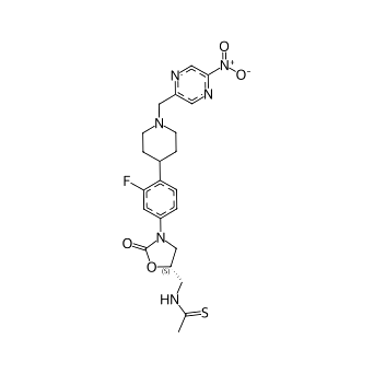 CC(=S)NC[C@H]1CN(c2ccc(C3CCN(Cc4cnc([N+](=O)[O-])cn4)CC3)c(F)c2)C(=O)O1